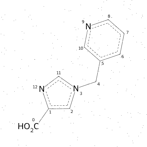 O=C(O)c1cn(Cc2cccnc2)cn1